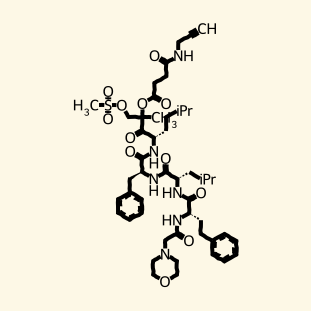 C#CCNC(=O)CCC(=O)OC(C)(COS(C)(=O)=O)C(=O)[C@H](CCC(C)C)NC(=O)[C@H](Cc1ccccc1)NC(=O)[C@H](CC(C)C)NC(=O)[C@H](CCc1ccccc1)NC(=O)CN1CCOCC1